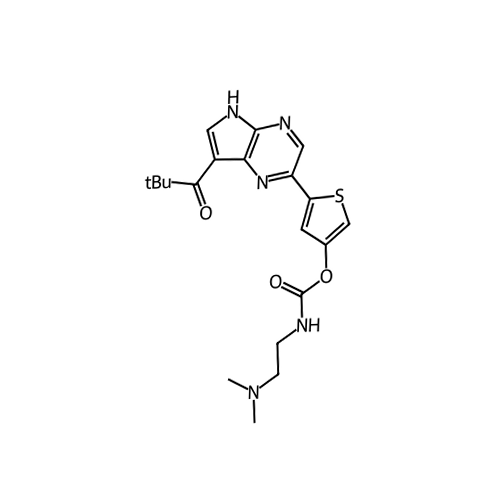 CN(C)CCNC(=O)Oc1csc(-c2cnc3[nH]cc(C(=O)C(C)(C)C)c3n2)c1